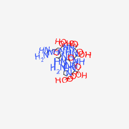 CC(C)[C@H](N)C(=O)N[C@@H](CCCNC(=N)N)C(=O)N[C@@H](CO)C(=O)N[C@@H](CO)C(=O)N[C@@H](CO)C(=O)N[C@@H](CCCNC(=N)N)C(=O)N[C@H](C(=O)N1CCC[C@H]1C(=O)O)[C@@H](C)O